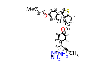 CC#CC(C/C(N)=N/N)c1ccc(OCc2ccc3scc(-c4ccc(OCCOC)cc4C)c3c2)cc1